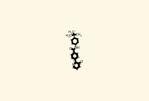 CC(C)(C)[C@H]1CC[C@@H](NC(=O)c2ccc(-c3ncccc3Cl)cc2)CC1